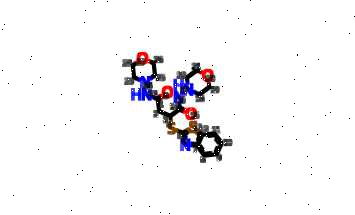 O=C(CC(Sc1nc2ccccc2s1)C(=O)NN1CCOCC1)NN1CCOCC1